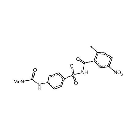 CNC(=O)Nc1ccc(S(=O)(=O)NC(=O)c2cc([N+](=O)[O-])ccc2C)cc1